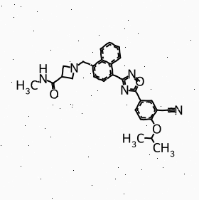 CNC(=O)C1CN(Cc2ccc(-c3noc(-c4ccc(OC(C)C)c(C#N)c4)n3)c3ccccc23)C1